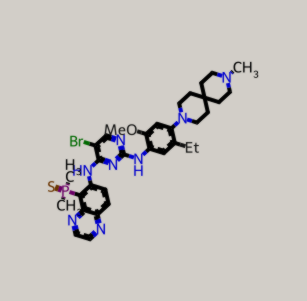 CCc1cc(Nc2ncc(Br)c(Nc3ccc4nccnc4c3P(C)(C)=S)n2)c(OC)cc1N1CCC2(CCN(C)CC2)CC1